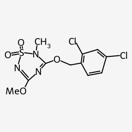 COC1=NS(=O)(=O)N(C)C(OCc2ccc(Cl)cc2Cl)=N1